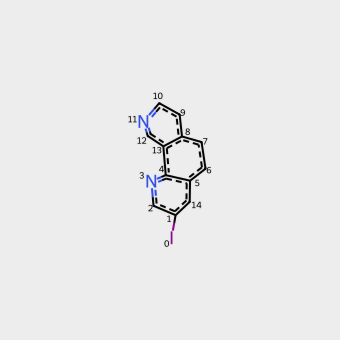 Ic1cnc2c(ccc3ccncc32)c1